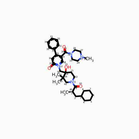 C[C@H](CC1CCCCC1)C(=O)N1CCC(O)(Cn2cc(C(=O)N3CCN(C)CC3)c(-c3ccccc3)cc2=O)C(C)(C)C1